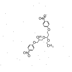 CCOC(CCOc1ccc([N+](=O)[O-])cc1)OCC(O)COc1ccc([N+](=O)[O-])cc1